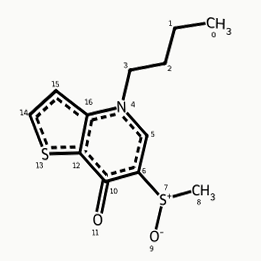 CCCCn1cc([S+](C)[O-])c(=O)c2sccc21